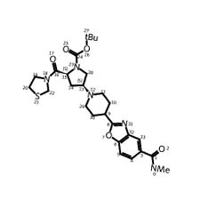 CNC(=O)c1ccc2oc(C3CCN([C@H]4C[C@@H](C(=O)N5CCSC5)N(C(=O)OC(C)(C)C)C4)CC3)nc2c1